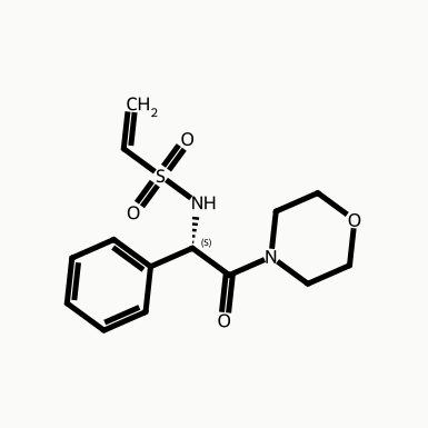 C=CS(=O)(=O)N[C@H](C(=O)N1CCOCC1)c1ccccc1